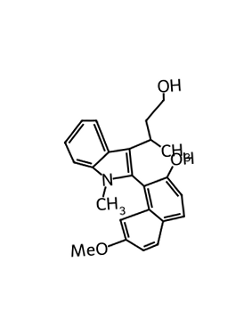 COc1ccc2ccc(O)c(-c3c(C(C)CCO)c4ccccc4n3C)c2c1